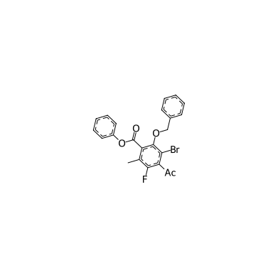 CC(=O)c1c(F)c(C)c(C(=O)Oc2ccccc2)c(OCc2ccccc2)c1Br